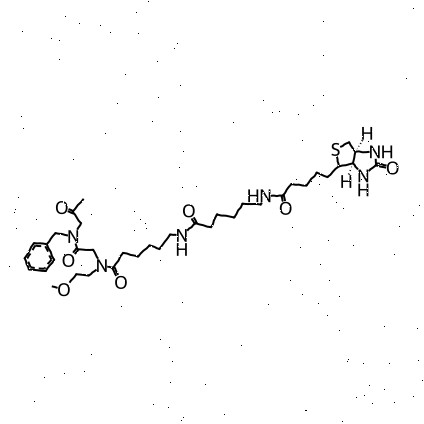 COCCN(CC(=O)N(CC(C)=O)Cc1ccccc1)C(=O)CCCCCNC(=O)CCCCCNC(=O)CCCCC1SC[C@H]2NC(=O)N[C@@H]12